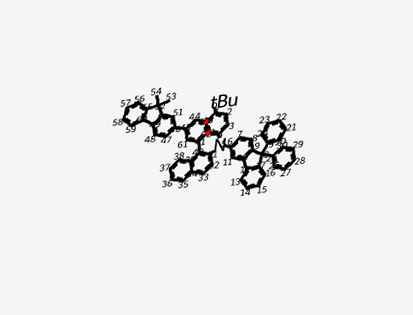 CC(C)(C)c1ccc(N(c2ccc3c(c2)-c2ccccc2C3(c2ccccc2)c2ccccc2)c2ccc3ccccc3c2-c2cccc(-c3ccc4c(c3)C(C)(C)c3ccccc3-4)c2)cc1